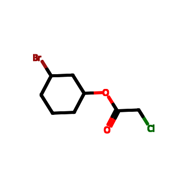 O=C(CCl)OC1CCCC(Br)C1